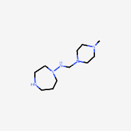 CN1CCN(CNN2CCCNCC2)CC1